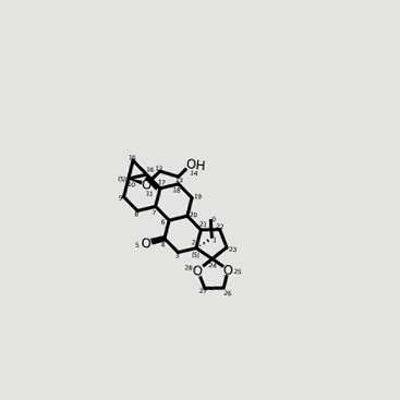 CC[C@]12CC(=O)C3C4CC[C@]5(OCCO)CC5=C4CCC3C1CCC21OCCO1